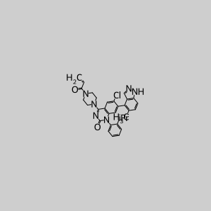 C=CC(=O)N1CCN(c2nc(=O)n(-c3ccccc3C(C)C)c3cc(-c4c(C)ccc5[nH]ncc45)c(Cl)cc23)CC1